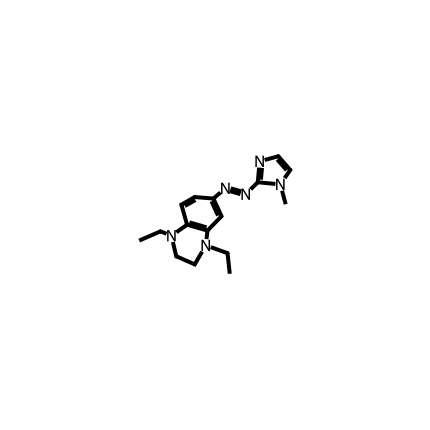 CCN1CCN(CC)c2cc(N=Nc3nccn3C)ccc21